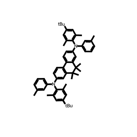 Cc1cccc(N(c2ccc3c(c2)C(C)(C)C(C)(C)c2cc(N(c4cccc(C)c4)c4c(C)cc(C(C)(C)C)cc4C)ccc2-3)c2c(C)cc(C(C)(C)C)cc2C)c1